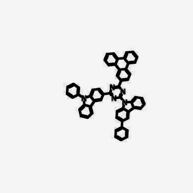 c1ccc(-c2ccc3c(c2)c2ccccc2n3-c2nc(-c3ccc4c5ccccc5c5ccccc5c4c3)nc(-c3ccc4c(c3)c3ccccc3n4-c3ccccc3)n2)cc1